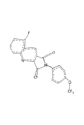 O=C1c2cc3c(F)cccc3nc2C(=O)N1c1ccc(OC(F)(F)F)cc1